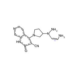 N#Cc1c(N2CCC(N(N)/C=C\N)C2)c2ccncc2[nH]c1=O